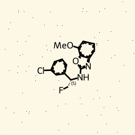 COc1c[c]cc2nc(N[C@H](CF)c3cccc(Cl)c3)oc12